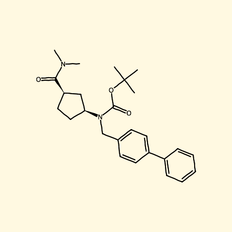 CN(C)C(=O)[C@@H]1CC[C@H](N(Cc2ccc(-c3ccccc3)cc2)C(=O)OC(C)(C)C)C1